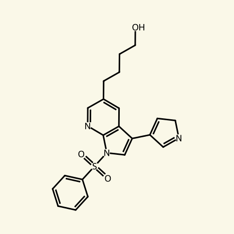 O=S(=O)(c1ccccc1)n1cc(C2=CCN=C2)c2cc(CCCCO)cnc21